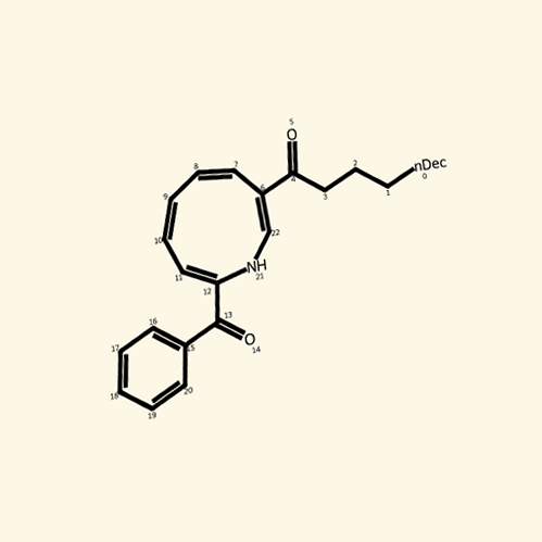 CCCCCCCCCCCCCC(=O)c1cccccc(C(=O)c2ccccc2)[nH]c1